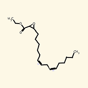 CCCCC/C=C\C/C=C\CCCCCC1OC1C(=O)OCC